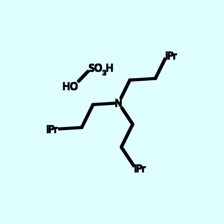 CC(C)CCN(CCC(C)C)CCC(C)C.O=S(=O)(O)O